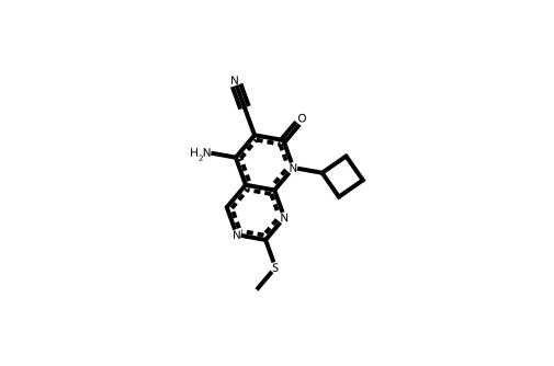 CSc1ncc2c(N)c(C#N)c(=O)n(C3CCC3)c2n1